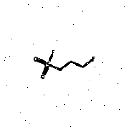 O=S(=O)(F)CCCF